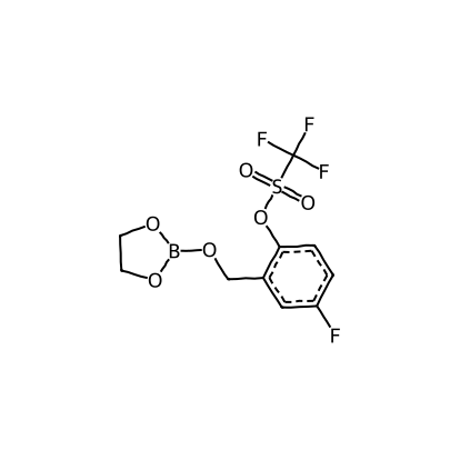 O=S(=O)(Oc1ccc(F)cc1COB1OCCO1)C(F)(F)F